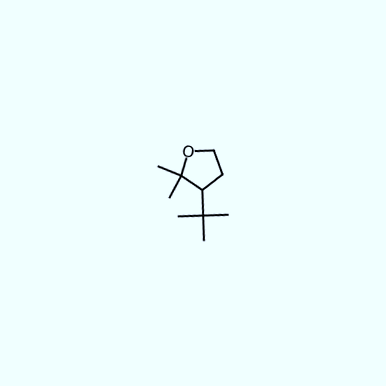 CC(C)(C)C1CCOC1(C)C